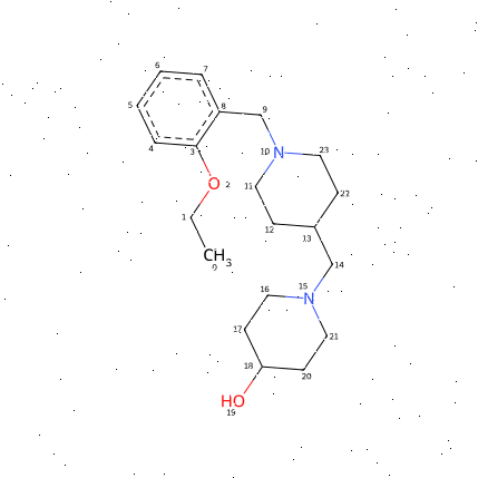 CCOc1ccccc1CN1CCC(CN2CCC(O)CC2)CC1